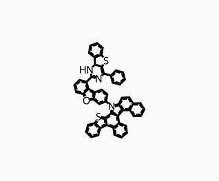 c1ccc(C2=C3Sc4ccccc4C3NC(c3cccc4oc5cc(-n6c7ccc8ccccc8c7c7c8ccccc8c8c9ccccc9sc8c76)ccc5c34)=N2)cc1